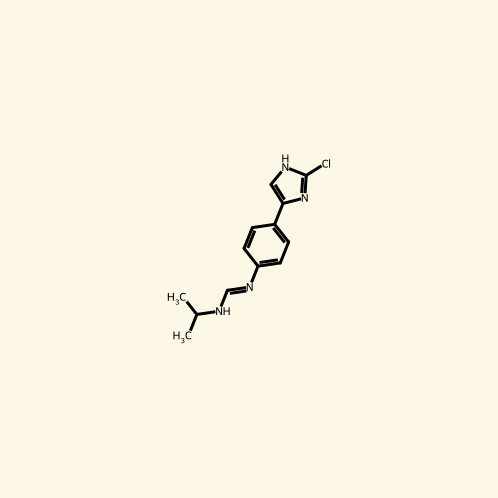 CC(C)N/C=N/c1ccc(-c2c[nH]c(Cl)n2)cc1